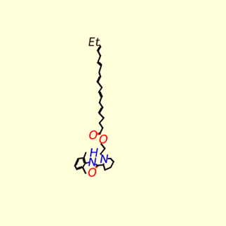 CCC=CCC=CCC=CCC=CCC=CCCCC(=O)OCCCN1CCCCC1C(=O)Nc1c(C)cccc1C